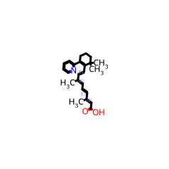 CC(/C=C/C1=C(c2ccccn2)CCCC1(C)C)=C\C=C\C(C)=C\C(=O)O